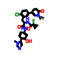 CC(C)n1cc(-c2ccc(Cl)c(CC(NC(=O)C3(F)CC3)C(=O)Nc3ccc(-c4cncn4C)c(O)c3)c2)ccc1=O